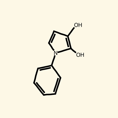 Oc1ccn(-c2ccccc2)c1O